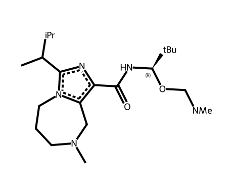 CNCO[C@@H](NC(=O)c1nc(C(C)C(C)C)n2c1CN(C)CCC2)C(C)(C)C